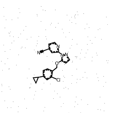 N#Cc1ccnc(-n2nccc2OCc2ccc(C3CC3)cc2Cl)c1